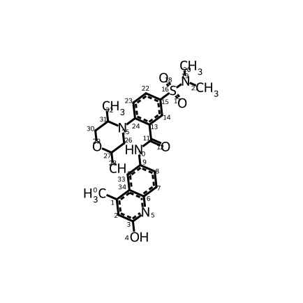 Cc1cc(O)nc2ccc(NC(=O)c3cc(S(=O)(=O)N(C)C)ccc3N3CC(C)OCC3C)cc12